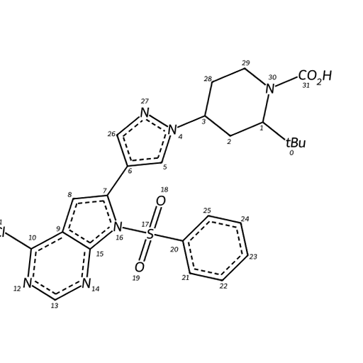 CC(C)(C)C1CC(n2cc(-c3cc4c(Cl)ncnc4n3S(=O)(=O)c3ccccc3)cn2)CCN1C(=O)O